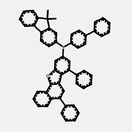 CC1(C)c2ccccc2-c2ccc(N(c3ccc(-c4ccccc4)cc3)c3cc(-c4ccccc4)c4c(c3)oc3c5ccccc5c(-c5ccccc5)cc34)cc21